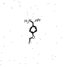 CCC[C@@H](N)c1ccc(OCF)cc1